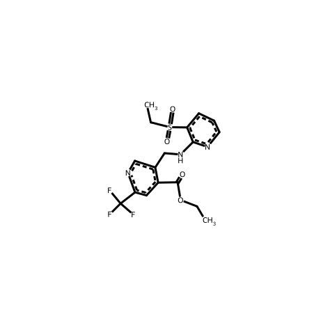 CCOC(=O)c1cc(C(F)(F)F)ncc1CNc1ncccc1S(=O)(=O)CC